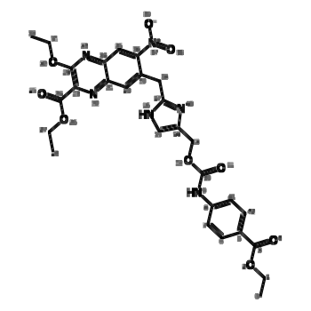 CCOC(=O)c1ccc(NC(=O)OCc2c[nH]c(Cc3cc4nc(C(=O)OCC)c(OCC)nc4cc3[N+](=O)[O-])n2)cc1